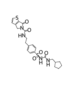 O=C(NCC1CCCC1)NS(=O)(=O)c1ccc(CCNC(=O)N2Cc3ccsc3C2=O)cc1